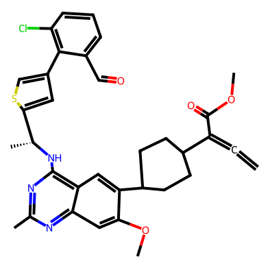 C=C=C(C(=O)OC)C1CCC(c2cc3c(N[C@H](C)c4cc(-c5c(Cl)cccc5C=O)cs4)nc(C)nc3cc2OC)CC1